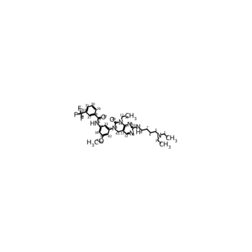 CCN(CC)CCCCNc1ncc2c(n1)N(CC)C(=O)N(c1cc(NC(=O)c3cccc(C(F)(F)F)c3)cc(OC)c1)C2